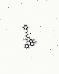 Clc1ccc(-c2ccccc2)c2c3c([nH]c12)CC(CCCSc1ccccc1)NC3